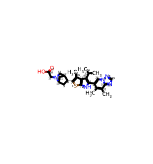 Cc1c(-c2[nH]c3sc([C@@H]4CC5CC4CN5CC(=O)O)c(C)c3c2C(C)C)cn2ncnc2c1C